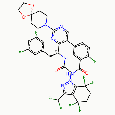 NC(=O)c1cc(-c2cnc(N3CCC4(CC3)OCCO4)nc2[C@H](Cc2cc(F)cc(F)c2)NC(=O)Cn2nc(C(F)F)c3c2C(F)(F)CCC3(F)F)ccc1F